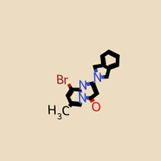 Cc1cc(Br)c2nc(N3Cc4ccccc4C3)cc(=O)n2c1